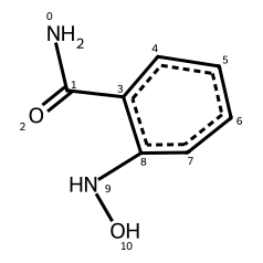 NC(=O)c1ccccc1NO